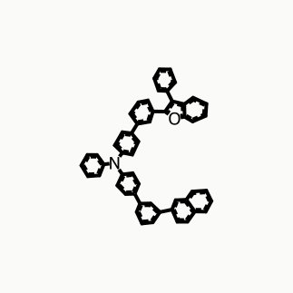 c1ccc(-c2c(-c3cccc(-c4ccc(N(c5ccccc5)c5ccc(-c6cccc(-c7ccc8ccccc8c7)c6)cc5)cc4)c3)oc3ccccc23)cc1